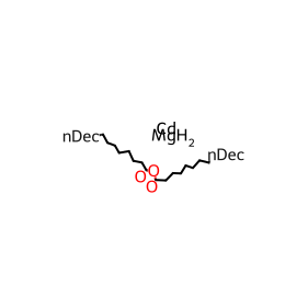 CCCCCCCCCCCCCCCCCC(=O)OC(=O)CCCCCCCCCCCCCCCCC.[Cd].[MgH2]